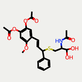 COc1cc(OC(C)=O)c(OC(C)=O)cc1/C=C/C(SCC(NC(C)=O)C(O)O)c1ccccc1